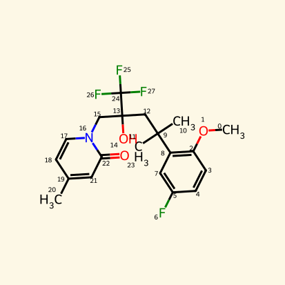 COc1ccc(F)cc1C(C)(C)CC(O)(Cn1ccc(C)cc1=O)C(F)(F)F